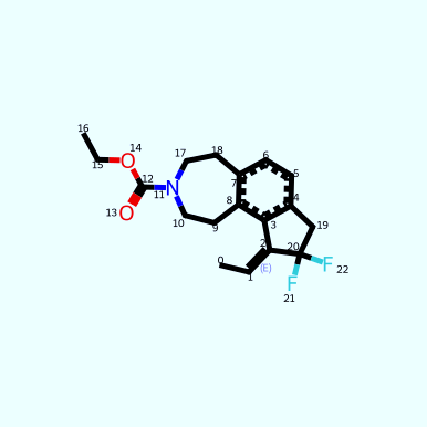 C/C=C1\c2c(ccc3c2CCN(C(=O)OCC)CC3)CC1(F)F